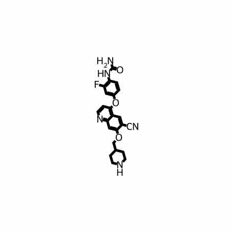 N#Cc1cc2c(Oc3ccc(NC(N)=O)c(F)c3)ccnc2cc1OCC1CCNCC1